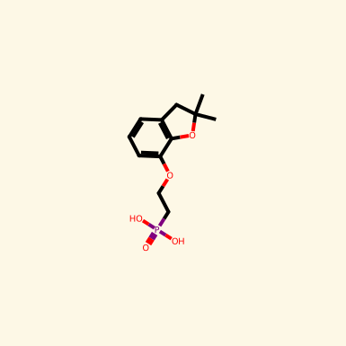 CC1(C)Cc2cccc(OCCP(=O)(O)O)c2O1